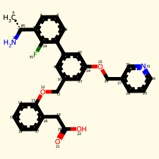 C[C@@H](N)c1cccc(-c2cc(COc3ccccc3CC(=O)O)cc(OCc3cccnc3)c2)c1F